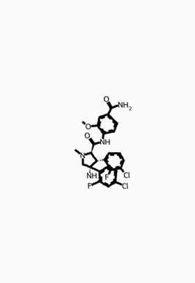 COc1cc(C(N)=O)ccc1NC(=O)[C@H]1[C@H](c2cccc(Cl)c2F)[C@@](N)(c2ccc(Cl)cc2F)CN1C